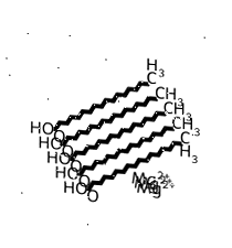 CCCCCCCCCCCCCCCCCC(=O)O.CCCCCCCCCCCCCCCCCC(=O)O.CCCCCCCCCCCCCCCCCC(=O)O.CCCCCCCCCCCCCCCCCC(=O)O.CCCCCCCCCCCCCCCCCC(=O)O.[Mg+2].[Mg+2].[Mg+2]